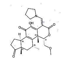 COC[C@H]1OC(=O)/C(=C/N2CCCC2)C2=C(O)C(=O)C3=C([C@H](C)C[C@]4(C)C(=O)CC[C@@H]34)[C@]21C